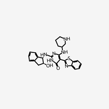 O=c1[nH]c(N[C@H]2c3ccccc3C[C@@H]2O)nc(NC2CCCNC2)c1-c1nc2ccccc2s1